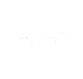 CCN1C[C@@H](NC(=O)C(C)C)CO1